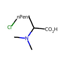 CC(C(=O)O)N(C)C.CCCCCCl